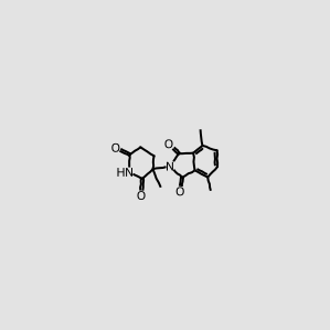 Cc1ccc(C)c2c1C(=O)N(C1(C)CCC(=O)NC1=O)C2=O